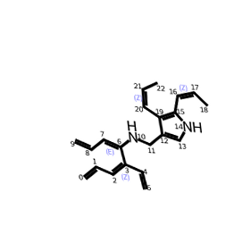 C=C/C=C(C=C)\C(=C/C=C)NCc1c[nH]c(/C=C\C)c1/C=C\C